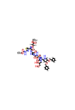 CC(C)(C)OC(=O)Nc1nc(/C(=N/OC(C)(C)C(=O)OC(C)(C)C)C(=O)N[C@H]2CN(C(=O)NS(=O)(=O)n3nc(C4=CC(OCc5ccccc5)C(OCc5ccccc5)=CN4)n(C[C@H](O)CO)c3=O)C2=O)cs1